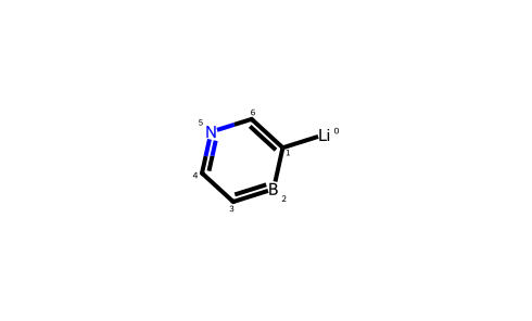 [Li][c]1bccnc1